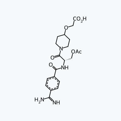 CC(=O)OC[C@H](NC(=O)c1ccc(C(=N)N)cc1)C(=O)N1CCC(OCC(=O)O)CC1